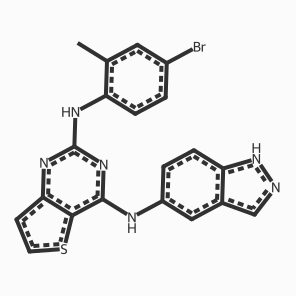 Cc1cc(Br)ccc1Nc1nc(Nc2ccc3[nH]ncc3c2)c2sccc2n1